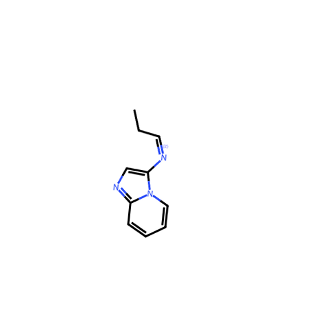 CC/C=N\c1cnc2ccccn12